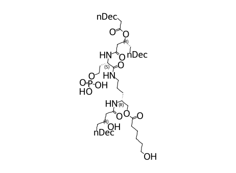 CCCCCCCCCCCC(=O)O[C@H](CCCCCCCCCCC)CC(=O)N[C@@H](CCOP(=O)(O)O)C(=O)NCCC[C@H](COC(=O)CCCCCO)NC(=O)C[C@H](O)CCCCCCCCCCC